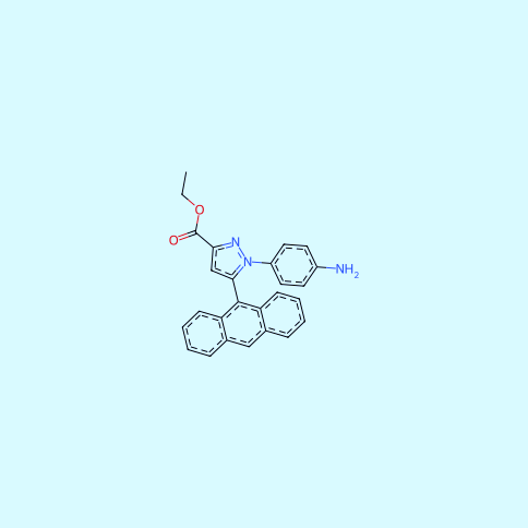 CCOC(=O)c1cc(-c2c3ccccc3cc3ccccc23)n(-c2ccc(N)cc2)n1